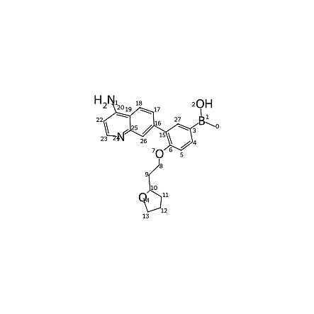 CB(O)c1ccc(OCCC2CCCO2)c(-c2ccc3c(N)ccnc3c2)c1